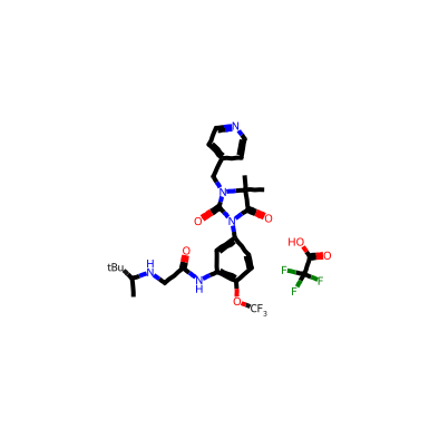 CC(NCC(=O)Nc1cc(N2C(=O)N(Cc3ccncc3)C(C)(C)C2=O)ccc1OC(F)(F)F)C(C)(C)C.O=C(O)C(F)(F)F